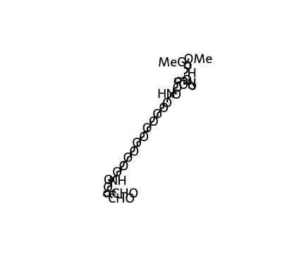 COc1ccc(CC[C@@H](OC(=O)C2CCCCN2)c2cccc(OCC(=O)NCCOCOCCOCCOCCOCCOCCOCCOCCOCCOCCOCCNC(=O)COc3cccc(C=O)c3CC=O)c2)cc1OC